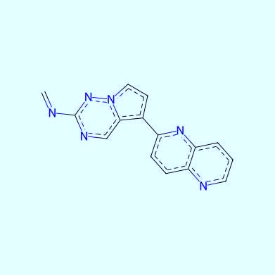 C=Nc1ncc2c(-c3ccc4ncccc4n3)ccn2n1